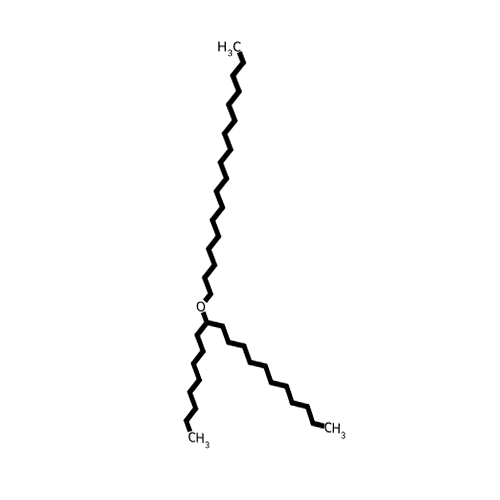 CCCCCCCCCCCCCCCCCCOC(CCCCCCCC)CCCCCCCCCCC